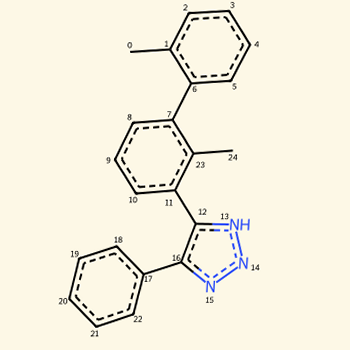 Cc1ccccc1-c1cccc(-c2[nH]nnc2-c2ccccc2)c1C